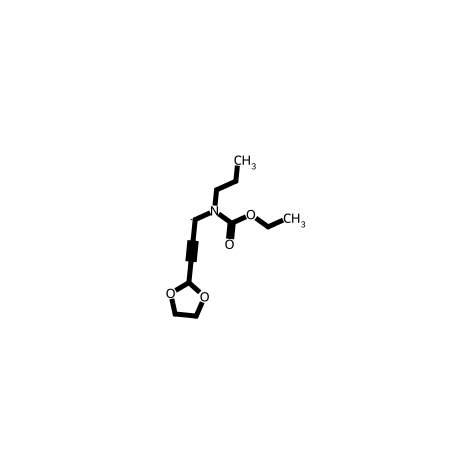 CCCN([CH]C#CC1OCCO1)C(=O)OCC